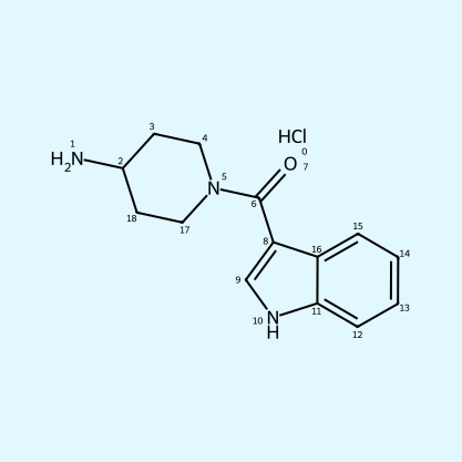 Cl.NC1CCN(C(=O)c2c[nH]c3ccccc23)CC1